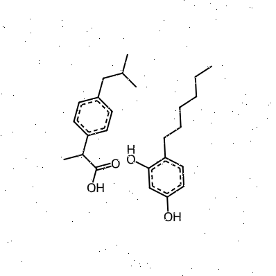 CC(C)Cc1ccc(C(C)C(=O)O)cc1.CCCCCCc1ccc(O)cc1O